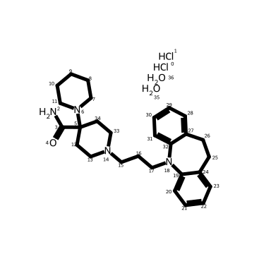 Cl.Cl.NC(=O)C1(N2CCCCC2)CCN(CCCN2c3ccccc3CCc3ccccc32)CC1.O.O